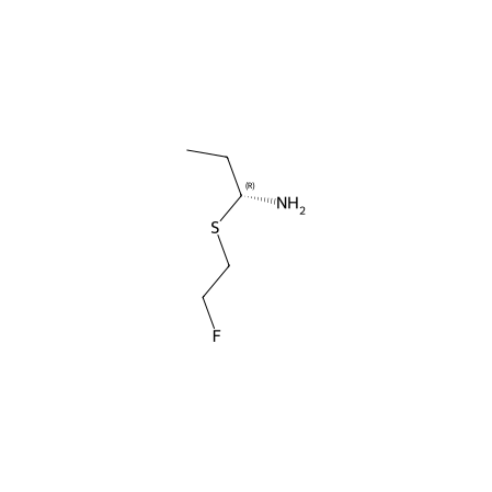 CC[C@H](N)SCCF